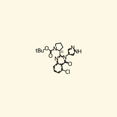 CC(C)(C)OC(=O)N1CCC[C@H]1c1nc2cccc(Cl)c2c(=O)n1-c1cn[nH]c1